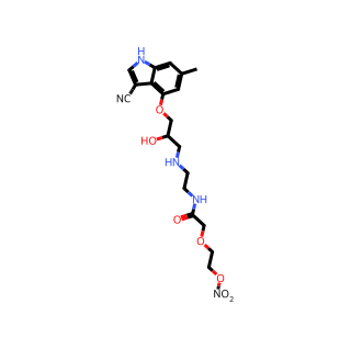 Cc1cc(OCC(O)CNCCNC(=O)COCCO[N+](=O)[O-])c2c(C#N)c[nH]c2c1